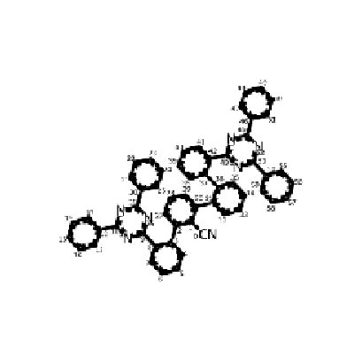 N#Cc1c(-c2ccccc2-c2nc(-c3ccccc3)nc(-c3ccccc3)n2)cccc1-c1ccccc1-c1ccccc1-c1nc(-c2ccccc2)nc(-c2ccccc2)n1